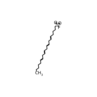 CCCCCC=CCC=CCC=CCC=CCCCCS(=O)(=O)F